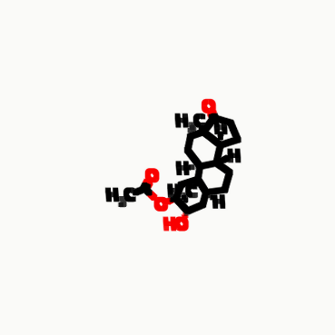 CC(=O)O[C@H]1C[C@@]2(C)[C@@H](CC[C@@H]3[C@@H]2CC[C@]2(C)C(=O)CC[C@@H]32)C[C@@H]1O